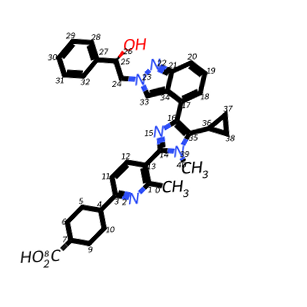 Cc1nc(C2CCC(C(=O)O)CC2)ccc1-c1nc(-c2cccc3nn(C[C@H](O)c4ccccc4)cc23)c(C2CC2)n1C